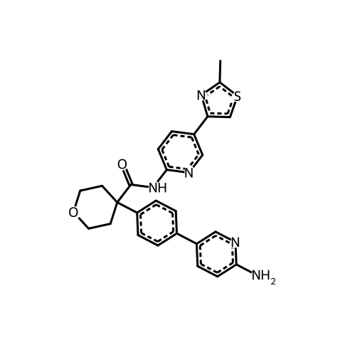 Cc1nc(-c2ccc(NC(=O)C3(c4ccc(-c5ccc(N)nc5)cc4)CCOCC3)nc2)cs1